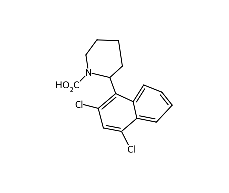 O=C(O)N1CCCCC1c1c(Cl)cc(Cl)c2ccccc12